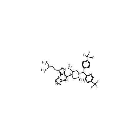 C[C@@H]1CN(c2nc3nncn3c3c2ncn3CCN(C)C)[C@@H](C)CN1[C@H](c1ccc(C(F)(F)F)cc1)c1ccc(C(F)(F)F)cn1